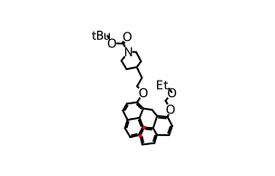 CCOCOc1ccc2ccccc2c1Cc1c(OCCC2CCN(C(=O)OC(C)(C)C)CC2)ccc2ccccc12